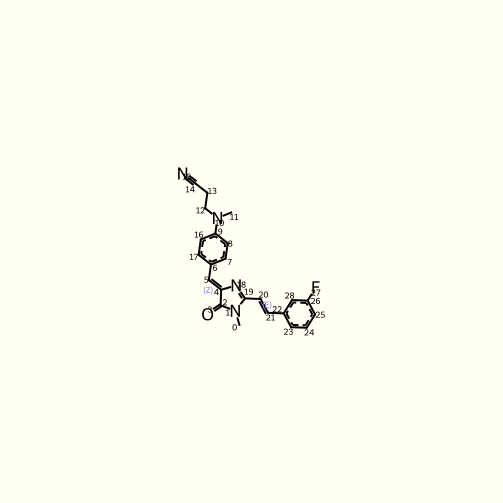 CN1C(=O)/C(=C/c2ccc(N(C)CCC#N)cc2)N=C1/C=C/c1cccc(F)c1